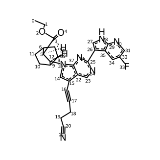 CCOC(=O)[C@@H]1C2CCC(CC2)[C@H]1n1cc(C#CCCC#N)c2cnc(-c3c[nH]c4ncc(F)cc34)nc21